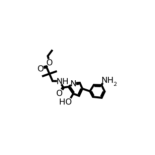 CCOC(=O)C(C)(C)CNC(=O)c1ncc(-c2cccc(N)c2)cc1O